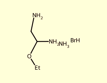 Br.CCOC(N)CN.N